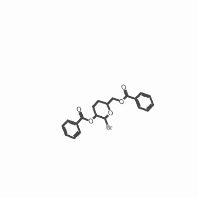 O=C(OCC1CCC(OC(=O)c2ccccc2)C(Br)O1)c1ccccc1